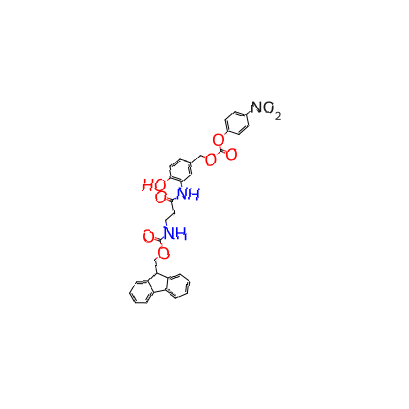 O=C(CCNC(=O)OCC1c2ccccc2-c2ccccc21)Nc1cc(COC(=O)Oc2ccc([N+](=O)[O-])cc2)ccc1O